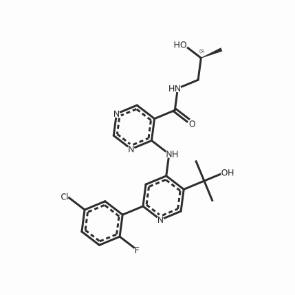 C[C@H](O)CNC(=O)c1cncnc1Nc1cc(-c2cc(Cl)ccc2F)ncc1C(C)(C)O